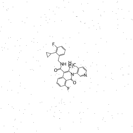 Cc1ccncc1-n1c(C)c(C(=O)NCc2cccc(F)c2C2CC2)c2cccc(F)c2c1=O